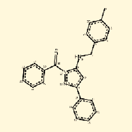 Cc1ccc(CNc2cc(-c3ccccc3)nn2C(=O)c2ccccc2)cc1